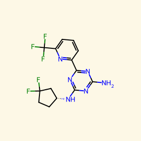 Nc1nc(N[C@@H]2CCC(F)(F)C2)nc(-c2cccc(C(F)(F)F)n2)n1